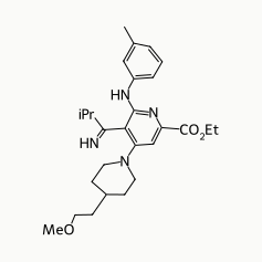 CCOC(=O)c1cc(N2CCC(CCOC)CC2)c(C(=N)C(C)C)c(Nc2cccc(C)c2)n1